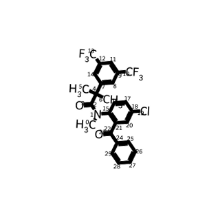 CN(C(=O)C(C)(C)c1cc(C(F)(F)F)cc(C(F)(F)F)c1)c1ccc(Cl)cc1C(=O)c1ccccc1